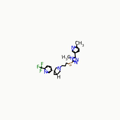 Cc1ccc(-c2nnc(SCCCN3C[C@H]4C[C@@]4(c4ccc(C(F)(F)F)nc4)C3)n2C)cn1